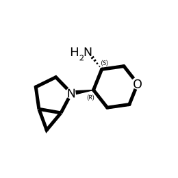 N[C@@H]1COCC[C@H]1N1CCC2CC21